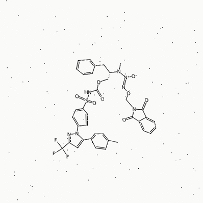 Cc1ccc(-c2cc(C(F)(F)F)nn2-c2ccc(S(=O)(=O)NC(=O)OC[C@H](Cc3ccccc3)N(C)/[N+]([O-])=N/OCN3C(=O)c4ccccc4C3=O)cc2)cc1